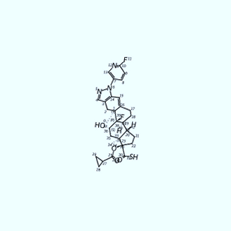 C[C@]12Cc3cnn(-c4ccc(F)nc4)c3C=C1CC[C@H]1[C@@H]3CC[C@](OC(=O)C4CC4)(C(=O)S)[C@@]3(C)C[C@H](O)[C@@]12F